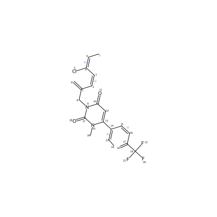 C=C(/C=C\C(Cl)=C/C)Cn1c(=O)cc(C(/C=C\C(=C)C(F)(F)F)=C/C)n(C)c1=O